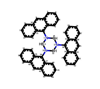 B1N(c2c3ccccc3cc3ccccc23)BN(c2c3ccccc3cc3ccccc23)BN1c1c2ccccc2cc2ccccc12